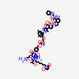 Cc1c(-c2ccc(N3CCc4cccc(C(=O)Nc5nc6ccccc6s5)c4C3)nc2C(=O)O)cnn1CC12CC3(C)CC(C)(C1)CC(OCCN(C)C(=O)OCc1ccc(N(C(N)=O)C(=O)[C@H](CCCN)NC(=O)[C@@H](NC(=O)CCCCCN4C(=O)C=CC4=O)C(C)C)cc1)(C3)C2